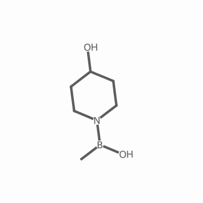 CB(O)N1CCC(O)CC1